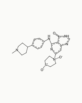 CN1CCC(c2ccc(Nc3nc([N+]4([O-])CC[S+]([O-])CC4)cc4nc[nH]c(=O)c34)cc2)CC1